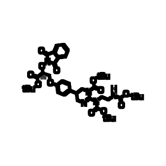 CC(C)(C)OC(=O)NCCN(C(=O)OC(C)(C)C)C1=NCC(c2ccc(OC[C@H](ON3C(=O)c4ccccc4C3=O)C(=O)OC(C)(C)C)cc2)CN1C(=O)OC(C)(C)C